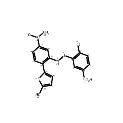 CCc1ccc(C(=O)O)cc1SNc1cc([S+](C)[O-])ccc1-c1ccc(C#N)s1